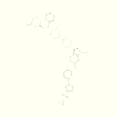 CC(C)n1nc(N2CCC(N3CCN(Cc4ccncc4N4CCC(=O)NC4=O)CC3)CC2)c2cnc(Nc3ccnc(-c4cnn(S(=O)(=O)C5CC5)c4)n3)cc21